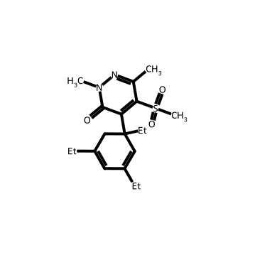 CCC1=CC(CC)(c2c(S(C)(=O)=O)c(C)nn(C)c2=O)CC(CC)=C1